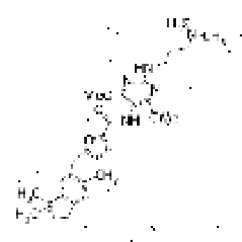 COc1nc(NCCCN(C)C)nc(OC)c1NC(=O)c1ccc(Cc2cc3c(cc2C)CC[Si]3(C)C)o1